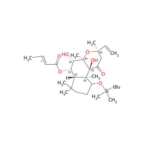 C=C[C@@]1(C)CC(=O)[C@]2(O)[C@@]3(C)C(O[Si](C)(C)C(C)(C)C)CCC(C)(C)[C@@H]3[C@H](OC(=O)/C=C/C)[C@H](O)[C@@]2(C)O1